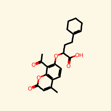 CC(=O)c1c(OC(CCC2=CCCCC2)C(=O)O)ccc2c(C)cc(=O)oc12